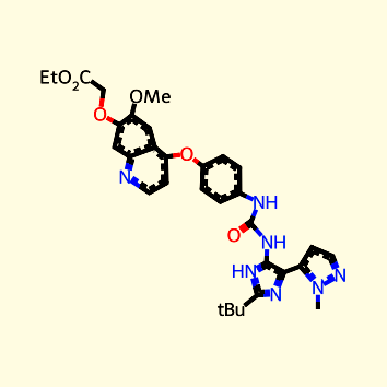 CCOC(=O)COc1cc2nccc(Oc3ccc(NC(=O)Nc4[nH]c(C(C)(C)C)nc4-c4ccnn4C)cc3)c2cc1OC